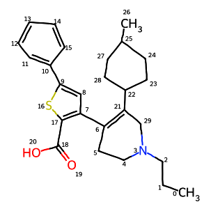 CCCN1CCC(c2cc(-c3ccccc3)sc2C(=O)O)=C(C2CCC(C)CC2)C1